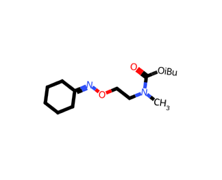 CC(C)COC(=O)N(C)CCON=C1CCCCC1